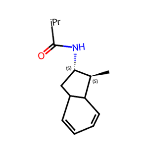 CC(C)C(=O)N[C@H]1CC2C=CC=CC2[C@@H]1C